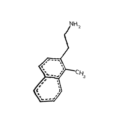 Cc1c(CCN)ccc2ccccc12